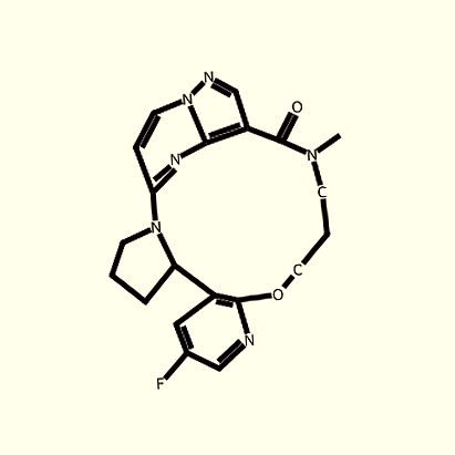 CN1CCCOc2ncc(F)cc2C2CCCN2c2ccn3ncc(c3n2)C1=O